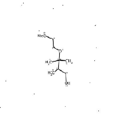 COCCOC(C)(C)C(C)CO